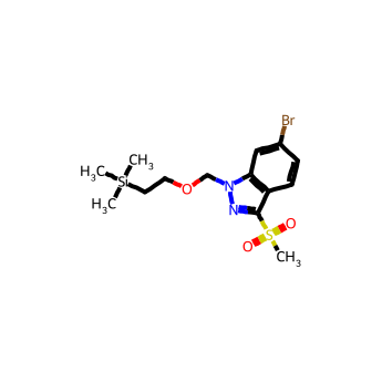 C[Si](C)(C)CCOCn1nc(S(C)(=O)=O)c2ccc(Br)cc21